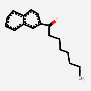 CCCCCCCC(=O)c1ccc2ccccc2c1